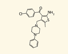 Cc1sc(N)c(C(=O)c2ccc(Cl)cc2)c1CN1CCN(c2ccccc2)CC1